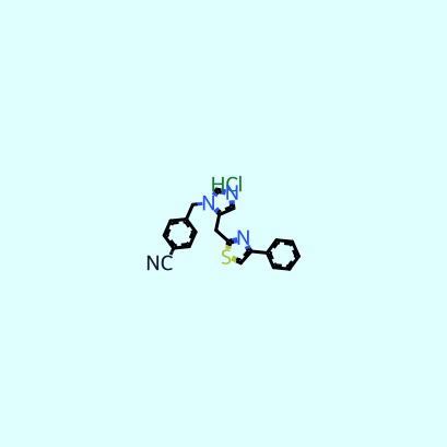 Cl.N#Cc1ccc(Cn2cncc2Cc2nc(-c3ccccc3)cs2)cc1